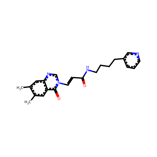 Cc1cc2ncn(/C=C/C(=O)NCCCCc3cccnc3)c(=O)c2cc1C